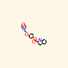 O=C(Oc1ccc(OCCN2CCOCC2)cc1)c1ccc2ccccc2n1